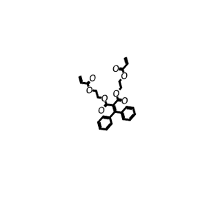 C=CC(=O)OCCOC(=O)C(C(=O)OCCOC(=O)C=C)=C(c1ccccc1)c1ccccc1